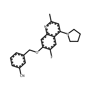 Cc1cc(N2CCCC2)c2cc(F)c(OCc3cccc(C#N)c3)cc2n1